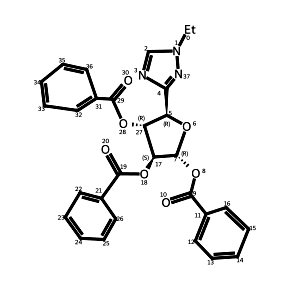 CCn1cnc([C@H]2O[C@H](OC(=O)c3ccccc3)[C@@H](OC(=O)c3ccccc3)[C@@H]2OC(=O)c2ccccc2)n1